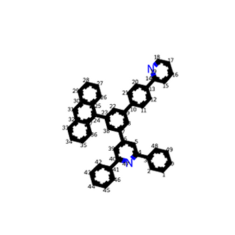 c1ccc(-c2cc(-c3cc(-c4ccc(-c5ccccn5)cc4)cc(-c4c5ccccc5cc5ccccc45)c3)cc(-c3ccccc3)n2)cc1